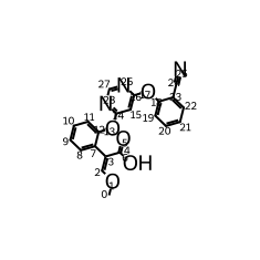 CO/C=C(\C(=O)O)c1ccccc1Oc1cc(Oc2ccccc2C#N)ncn1